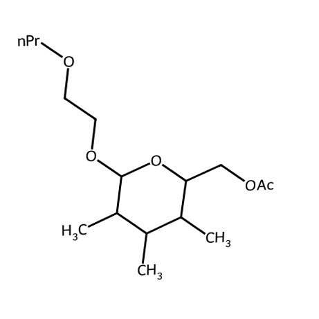 CCCOCCOC1OC(COC(C)=O)C(C)C(C)C1C